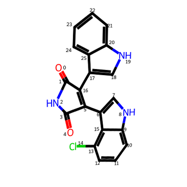 O=C1NC(=O)C(c2c[nH]c3cccc(Cl)c23)=C1c1c[nH]c2ccccc12